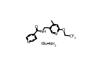 CC(C)(C)N.Cc1cc(OCC(F)(F)F)ncc1CNC(=O)c1ccncc1